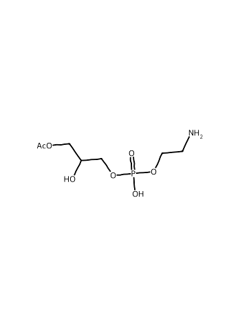 CC(=O)OCC(O)COP(=O)(O)OCCN